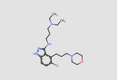 CCN(CC)CCCNc1n[nH]c2ccc(Cl)c(CCCN3CCOCC3)c12